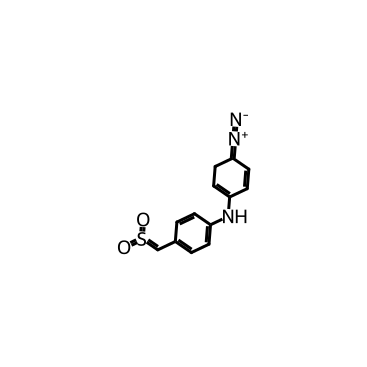 [N-]=[N+]=C1C=CC(Nc2ccc(C=S(=O)=O)cc2)=CC1